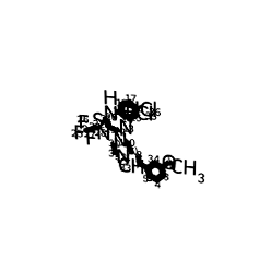 COc1cccc(CC[C@H]2CN(C3=Nc4ccccc4Nc4sc(C(F)(F)F)nc43)CCN2C)c1.Cl.Cl